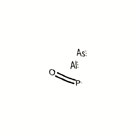 O=[P].[Al].[As]